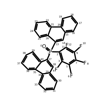 O=P(c1c(F)c(F)c(F)c(F)c1F)(c1cc2ccccc2c2ccccc12)c1cc2ccccc2c2ccccc12